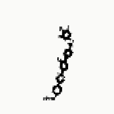 CCCCCC1CCC(c2cnc(-c3ccc(-c4ccc(C(F)(F)Oc5cc(F)c(F)c(F)c5)cc4)c(F)c3)nc2)CC1